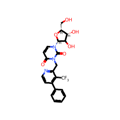 O=c1ccn([C@@H]2O[C@H](CO)[C@H](O)C2O)c(=O)n1Cc1nccc(-c2ccccc2)c1C(F)(F)F